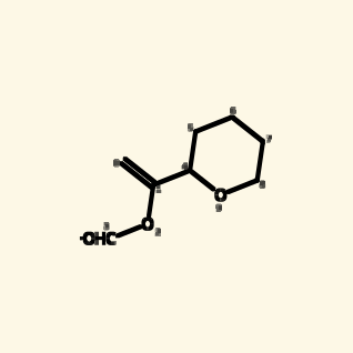 C=C(O[C]=O)C1CCCCO1